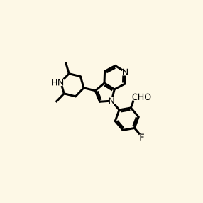 CC1CC(c2cn(-c3ccc(F)cc3C=O)c3cnccc23)CC(C)N1